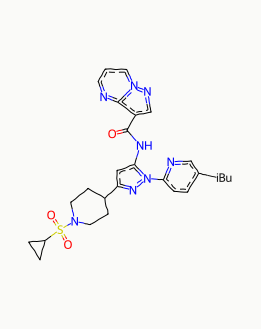 CCC(C)c1ccc(-n2nc(C3CCN(S(=O)(=O)C4CC4)CC3)cc2NC(=O)c2cnn3cccnc23)nc1